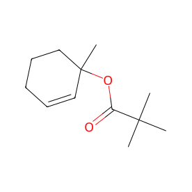 CC1(OC(=O)C(C)(C)C)C=CCCC1